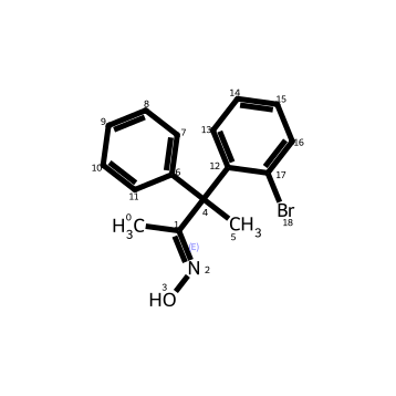 C/C(=N\O)C(C)(c1ccccc1)c1ccccc1Br